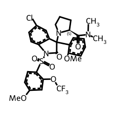 COc1ccc(S(=O)(=O)N2C(=O)C(c3ccccc3OC)(N3CCC[C@H]3C(=O)N(C)C)c3cc(Cl)ccc32)c(OC(F)(F)F)c1